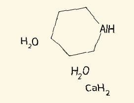 C1C[CH2][AlH][CH2]C1.O.O.[CaH2]